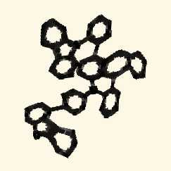 c1ccc(N(c2ccc(-c3ccccc3-n3c4ccccc4c4ccccc43)cc2)c2ccc(-c3cccc4oc5ccccc5c34)cc2)c(-c2cccc3ccccc23)c1